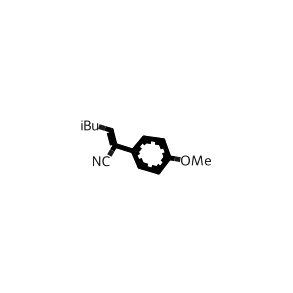 CCC(C)/C=C(\C#N)c1ccc(OC)cc1